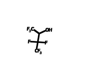 OC(C(F)(F)F)C(F)(F)C(F)(F)F